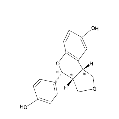 Oc1ccc([C@@H]2Oc3ccc(O)cc3[C@@H]3COC[C@@H]32)cc1